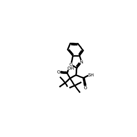 CC(C)(C)C(C(=O)O)(C(C(=O)S)c1nc2ccccc2o1)C(C)(C)C